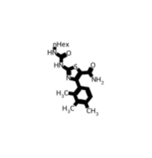 CCCCCCNC(=O)Nc1nc(-c2ccc(C)c(C)c2C)c(C(N)=O)s1